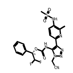 Cc1nc(-c2nnn(CC#N)c2NC(=O)O[C@@H](c2ccccc2)C(F)F)ccc1NS(C)(=O)=O